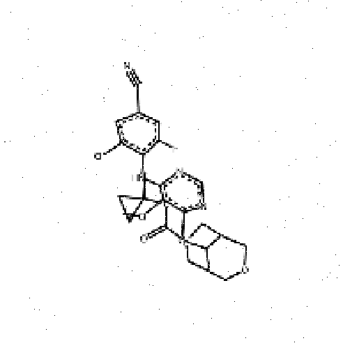 COc1c(Nc2c(F)cc(C#N)cc2Cl)ncnc1OC1C2COCC1CN(C(=O)OC1(C)CC1)C2